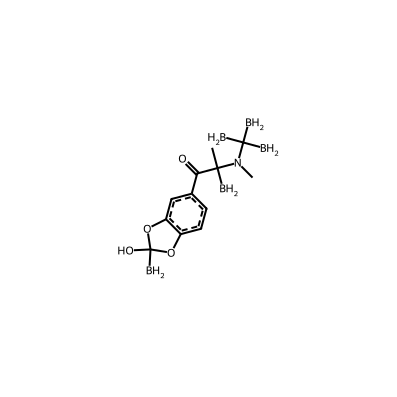 BC1(O)Oc2ccc(C(=O)C(B)(C)N(C)C(B)(B)B)cc2O1